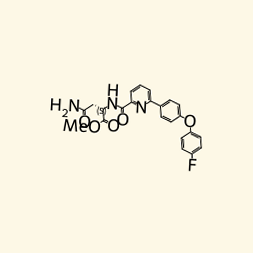 COC(=O)[C@H](CC(N)=O)NC(=O)c1cccc(-c2ccc(Oc3ccc(F)cc3)cc2)n1